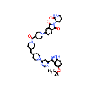 CC1(Oc2ccc3[nH]nc(-c4cc(N5CCC(CC6CCN(C(=O)C7CCN(c8ccc9c(c8)C(=O)N(C8CCCNC8=O)C9=O)CC7)CC6)CC5)ncn4)c3c2)CC1